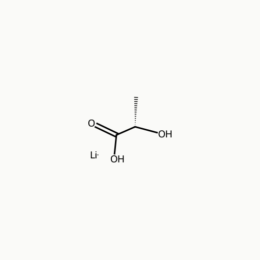 C[C@H](O)C(=O)O.[Li]